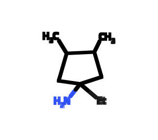 CCC1(N)CC(C)C(C)C1